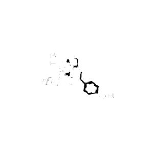 CC(C)(C)OC(=O)N1[C@@H](CCc2ccc(O)cc2)COC1(C)C